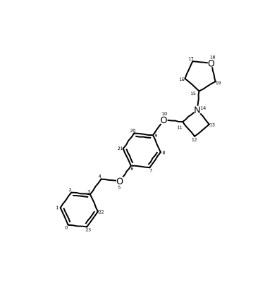 c1ccc(COc2ccc(OC3CCN3C3CCOC3)cc2)cc1